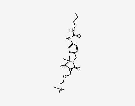 CCCCNC(=O)Nc1ccc(CN2C(=O)N(COCC[Si](C)(C)C)C(=O)C2(C)C)cc1